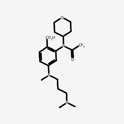 CN(C)CCCN(C)c1ccc(C(=O)O)c(N(C(=O)C(F)(F)F)C2CCOCC2)c1